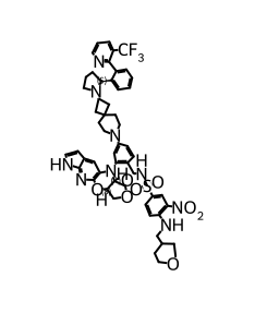 O=C(NS(=O)(=O)c1ccc(NCC2CCOCC2)c([N+](=O)[O-])c1)c1ccc(N2CCC3(CC2)CC(N2CCC[C@H]2c2ccccc2-c2ncccc2C(F)(F)F)C3)cc1N1c2cc3cc[nH]c3nc2O[C@@H]2COC[C@H]21